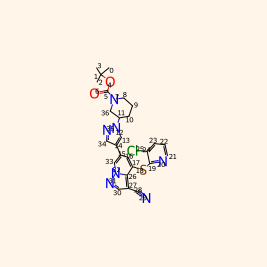 CC(C)(C)OC(=O)N1CCCC(n2cc(-c3cc(Sc4ncccc4Cl)c4c(C#N)cnn4c3)cn2)C1